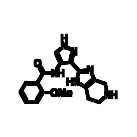 COc1ccccc1C(=O)Nc1c[nH]nc1-c1nc2c([nH]1)CCNC2